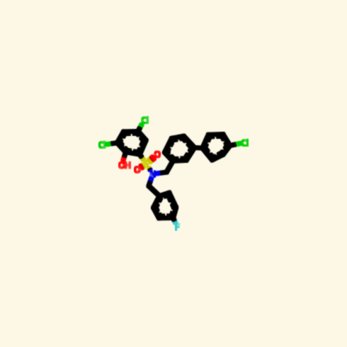 O=S(=O)(c1cc(Cl)cc(Cl)c1O)N(Cc1ccc(F)cc1)Cc1cccc(-c2ccc(Cl)cc2)c1